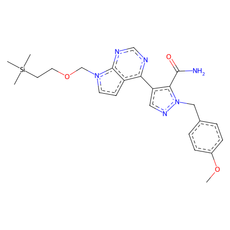 COc1ccc(Cn2ncc(-c3ncnc4c3ccn4COCC[Si](C)(C)C)c2C(N)=O)cc1